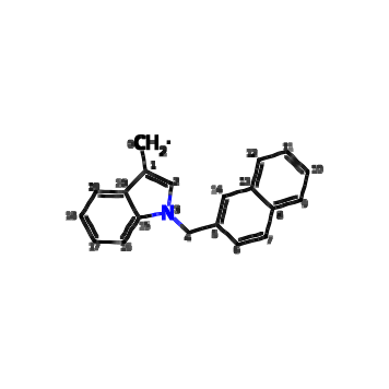 [CH2]c1cn(Cc2ccc3ccccc3c2)c2ccccc12